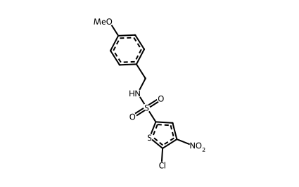 COc1ccc(CNS(=O)(=O)c2cc([N+](=O)[O-])c(Cl)s2)cc1